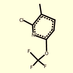 Cc1ccc(OC(F)(F)F)nc1Cl